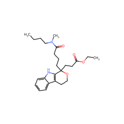 CCCCN(C)C(=O)CCCC1(CCC(=O)OCC)OCCc2c1[nH]c1ccccc21